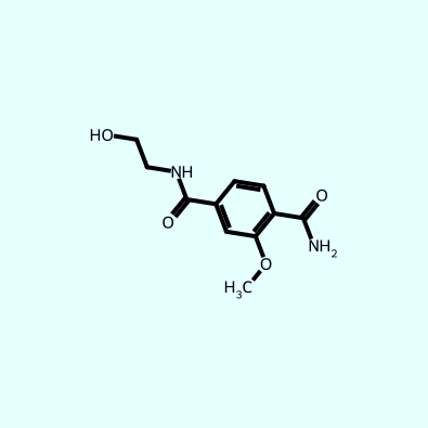 COc1cc(C(=O)NCCO)ccc1C(N)=O